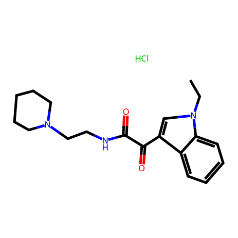 CCn1cc(C(=O)C(=O)NCCN2CCCCC2)c2ccccc21.Cl